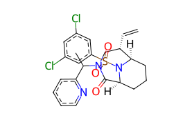 C=C[C@H]1CN(C(C)c2ccccn2)C(=O)[C@@H]2CCC[C@H]1N2S(=O)(=O)c1cc(Cl)cc(Cl)c1